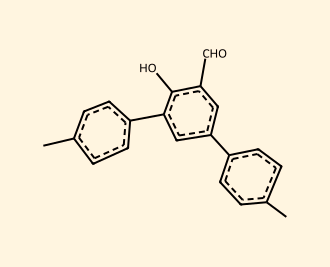 Cc1ccc(-c2cc(C=O)c(O)c(-c3ccc(C)cc3)c2)cc1